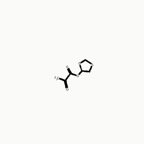 O=C(OC1CSCO1)C(=O)C(F)(F)F